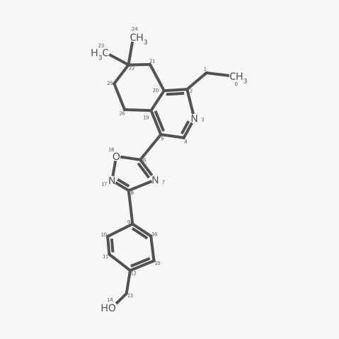 CCc1ncc(-c2nc(-c3ccc(CO)cc3)no2)c2c1CC(C)(C)CC2